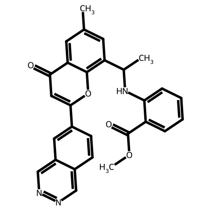 COC(=O)c1ccccc1NC(C)c1cc(C)cc2c(=O)cc(-c3ccc4cnncc4c3)oc12